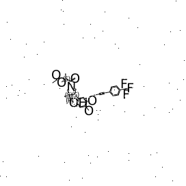 COc1ccc([C@@H]2CN(C(=O)[C@H](C)OC(C)=O)C[C@@]2(C)[C@@H](C)O)cc1OCC#Cc1ccc(C(F)(F)F)cc1